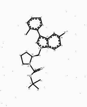 Cc1ccccc1-c1cn(C[C@@H]2CCCN2C(=O)OC(C)(C)C)c2ccc(F)cc12